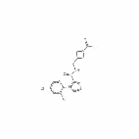 O=C(NCC1CN(C(=O)O)C1)c1cccn1-c1ncc(Cl)cc1Cl